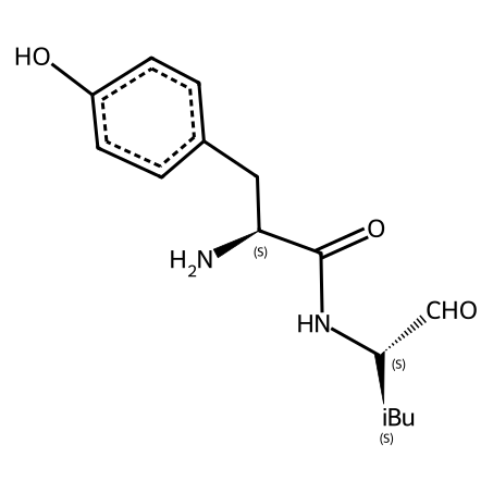 CC[C@H](C)[C@@H](C=O)NC(=O)[C@@H](N)Cc1ccc(O)cc1